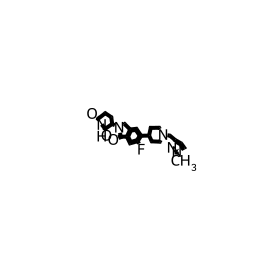 Cn1ccc(CN2CCC(c3cc4c(cc3F)C(=O)N(C3CCC(=O)NC3=O)C4)CC2)n1